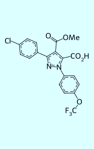 COC(=O)c1c(-c2ccc(Cl)cc2)nn(-c2ccc(OC(F)(F)F)cc2)c1C(=O)O